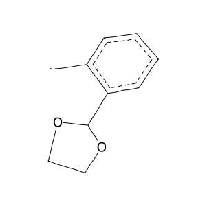 [CH2]c1ccccc1C1OCCO1